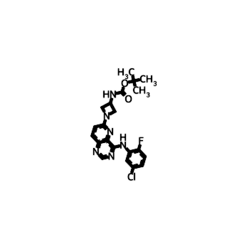 CC(C)(C)OC(=O)NC1CN(c2ccc3ncnc(Nc4cc(Cl)ccc4F)c3n2)C1